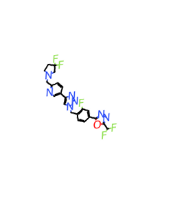 Fc1cc(-c2nnc(C(F)F)o2)ccc1Cn1cc(-c2ccc(CN3CCC(F)(F)C3)nc2)nn1